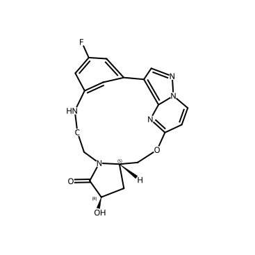 O=C1[C@H](O)C[C@H]2COc3ccn4ncc(c4n3)-c3cc(F)cc(c3)NCCN12